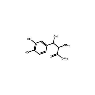 CNC(C(=O)OC)C(O)c1ccc(O)c(O)c1